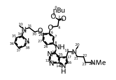 CCCCOC(=O)COc1cc(Nc2ncnc3[nH]cc(CN(C)CCCNC)c23)ccc1OCCN(C)c1ccccn1